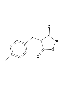 Cc1ccc(CC2C(=O)NOC2=O)cc1